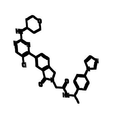 CC(NC(=O)CN1Cc2ccc(-c3nc(NC4CCOCC4)ncc3Cl)cc2C1=O)c1ccc(-n2ccnc2)cc1